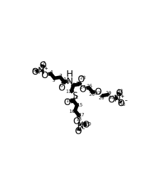 O=C(CCCO[N+](=O)[O-])NC(CSC(=O)CCCO[N+](=O)[O-])C(=O)OCCOCCO[N+](=O)[O-]